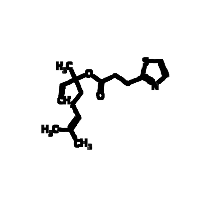 C=CC(C)(CCC=C(C)C)OC(=O)CCc1nccs1